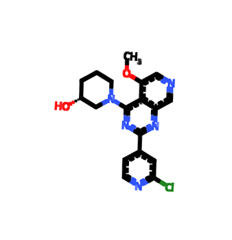 COc1cncc2nc(-c3ccnc(Cl)c3)nc(N3CCC[C@@H](O)C3)c12